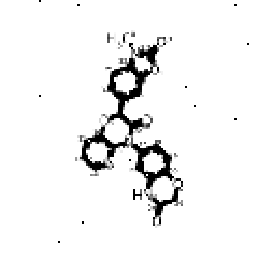 Cn1c(=O)oc2cc(C3Oc4cc[c]nc4N(c4ccc5c(c4)NC(=O)CO5)C3=O)ccc21